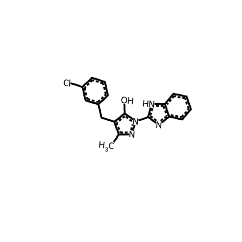 Cc1nn(-c2nc3ccccc3[nH]2)c(O)c1Cc1cccc(Cl)c1